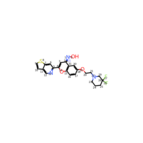 O/N=c1/cc(-c2cc3sccc3cn2)oc2ccc(OCCN3CCCC(F)(F)C3)cc12